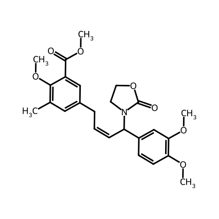 COC(=O)c1cc(C/C=C\C(c2ccc(OC)c(OC)c2)N2CCOC2=O)cc(C)c1OC